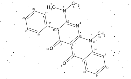 CN(C)c1nc2c(c(=O)c3ccccc3n2C)c(=O)n1-c1ccccc1